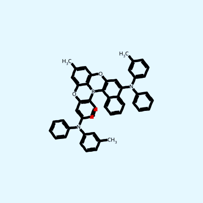 Cc1cccc(N(c2ccccc2)c2cc3c(c4ccccc24)B2c4c(cc(C)cc4Oc4cc(N(c5ccccc5)c5cccc(C)c5)c5ccccc5c42)O3)c1